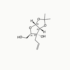 C=CC[C@@]1(O)[C@@H](CO)O[C@@H]2OC(C)(C)O[C@@H]21